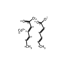 C/C=C/C=C/C(=O)[O-].C/C=C/C=C/C(=O)[O-].[Cd+2]